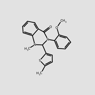 COc1ccccc1N1C(=O)c2ccccc2N(C)C1c1ccc(C)s1